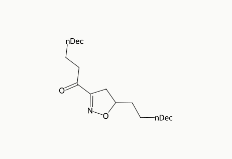 CCCCCCCCCCCCC(=O)C1=NOC(CCCCCCCCCCCC)C1